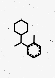 Cc1ccccc1P(C)C1CCCCC1